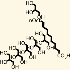 CCCCCCCCC=CCCCCCCCC(=O)O.OCC(O)CO.OCC(O)CO.OCC(O)CO.OCC(O)CO.OCC(O)CO.OCC(O)CO